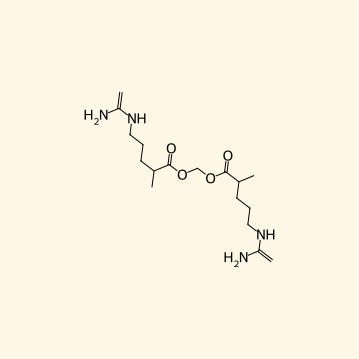 C=C(N)NCCCC(C)C(=O)OCOC(=O)C(C)CCCNC(=C)N